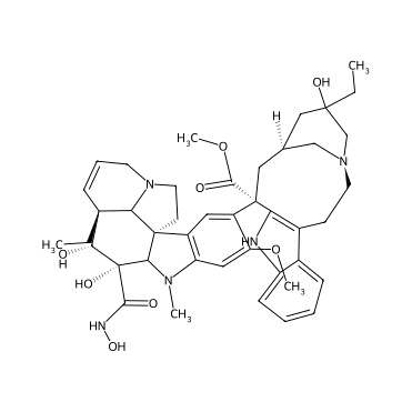 CCC1(O)C[C@H]2C[N@](CCc3c([nH]c4ccccc34)[C@@](C(=O)OC)(c3cc4c(cc3OC)N(C)C3[C@]45CCN4CC=C[C@](CC)(C45)[C@@H](O)[C@]3(O)C(=O)NO)C2)C1